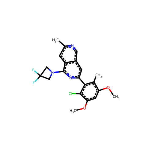 COc1cc(OC)c(Cl)c(-c2cc3cnc(C)cc3c(N3CC(F)(F)C3)n2)c1C